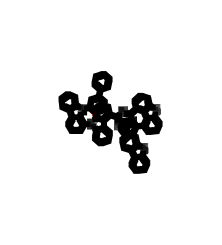 c1ccc(-c2cccc(-n3c4ccccc4c4cccc(-n5c6ccccc6c6c(-c7nc(-c8ccc9c(c8)sc8ccccc89)nc(-c8cccc9sc%10cccc(-c%11ccccc%11)c%10c89)n7)cccc65)c43)c2)cc1